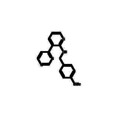 COc1ccc(CNc2ncccc2-c2ccncn2)cc1